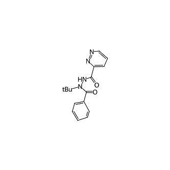 CC(C)(C)N(NC(=O)c1cccnn1)C(=O)c1ccccc1